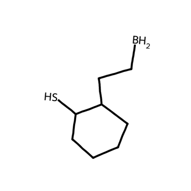 BCCC1CCCCC1S